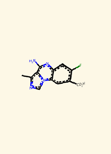 Cc1ncn2c1c(N)nc1cc(F)c(C(=O)O)cc12